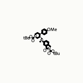 COc1ccc([C@@H]2CCN(C(=O)OC(C)(C)C)C[C@H]2CN(C)c2ccc3c(c2)C(=O)N(C(=O)OC(C)(C)C)C3)cc1